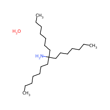 CCCCCCCC(N)(CCCCCCC)CCCCCCC.O